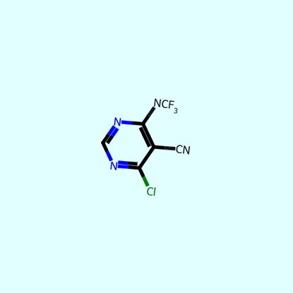 N#Cc1c(Cl)ncnc1NC(F)(F)F